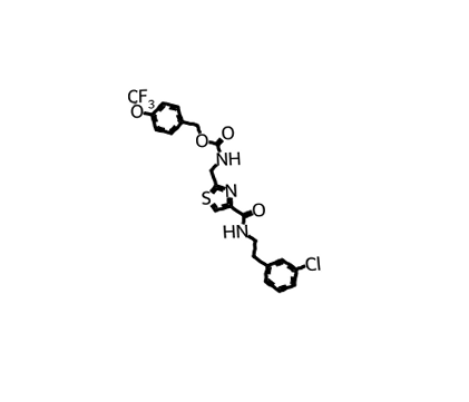 O=C(NCc1nc(C(=O)NCCc2cccc(Cl)c2)cs1)OCc1ccc(OC(F)(F)F)cc1